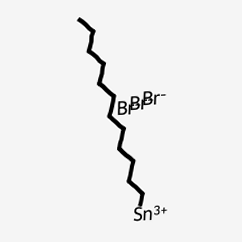 CCCCCCCCCCC[CH2][Sn+3].[Br-].[Br-].[Br-]